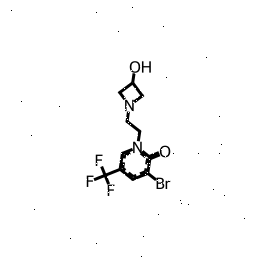 O=c1c(Br)cc(C(F)(F)F)cn1CCN1CC(O)C1